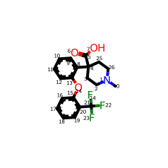 CN1CCC(C(=O)O)(c2ccccc2Oc2ccccc2C(F)(F)F)CC1